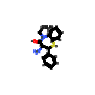 CCOC(=O)CN1C(=O)[C@H](N)[C@H](c2ccccc2)Sc2ccccc21